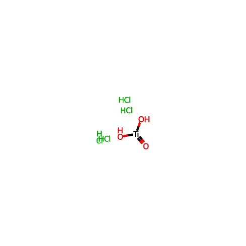 Cl.Cl.Cl.Cl.[O]=[Ti]([OH])[OH]